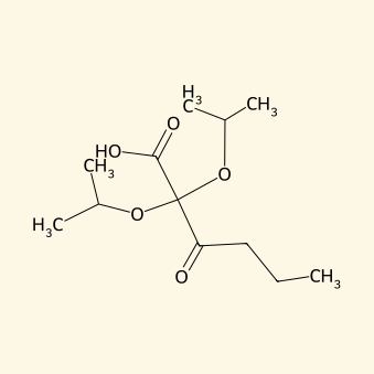 CCCC(=O)C(OC(C)C)(OC(C)C)C(=O)O